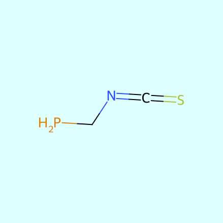 PCN=C=S